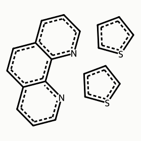 c1ccsc1.c1ccsc1.c1cnc2c(c1)ccc1cccnc12